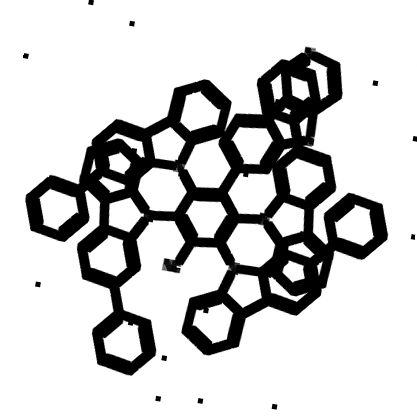 N#Cc1c(-n2c3ccccc3c3ccc(-c4ccccc4)cc32)c(-n2c3ccccc3c3ccc(-c4ccccc4)cc32)c(-c2ccc3c(c2)sc2ccncc23)c(-n2c3ccccc3c3ccc(-c4ccccc4)cc32)c1-n1c2ccccc2c2ccc(-c3ccccc3)cc21